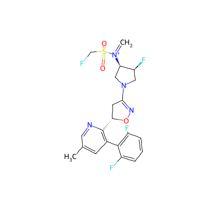 C=[N+]([C@@H]1CN(C2=NO[C@H](c3ncc(C)cc3-c3c(F)cccc3F)C2)C[C@@H]1F)S(=O)(=O)CF